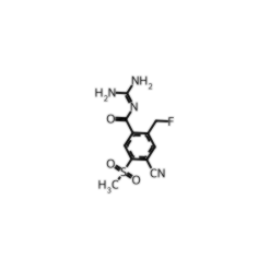 CS(=O)(=O)c1cc(C(=O)N=C(N)N)c(CF)cc1C#N